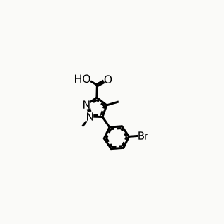 Cc1c(C(=O)O)nn(C)c1-c1cccc(Br)c1